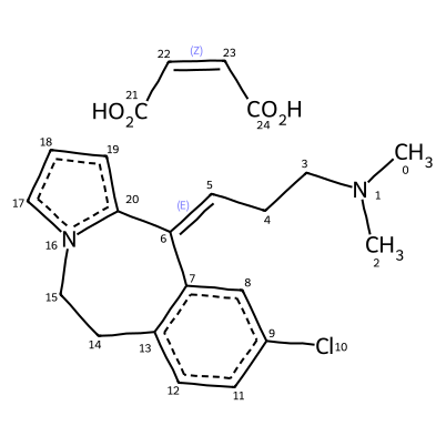 CN(C)CC/C=C1\c2cc(Cl)ccc2CCn2cccc21.O=C(O)/C=C\C(=O)O